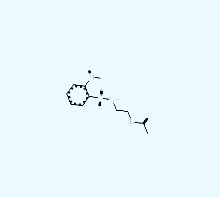 CC(=O)NCCNS(=O)(=O)c1ccccc1[N+](=O)[O-]